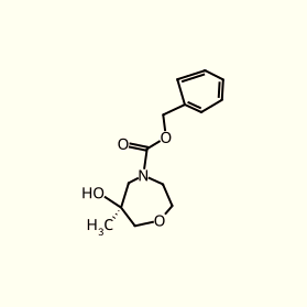 C[C@@]1(O)COCCN(C(=O)OCc2ccccc2)C1